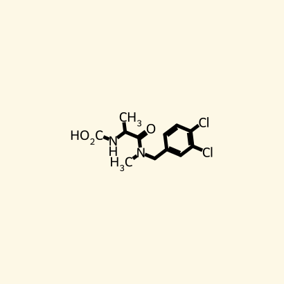 CC(NC(=O)O)C(=O)N(C)Cc1ccc(Cl)c(Cl)c1